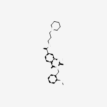 COc1ccccc1Cn1c(=O)[nH]c2cc(C(=O)NCCCN3CCCCC3)ccc2c1=O